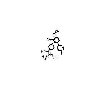 CN(C=N)C(=N)C1CCN(c2c(-c3ccc(F)nc3)ccc(OC3CC3)c2C#N)CC1